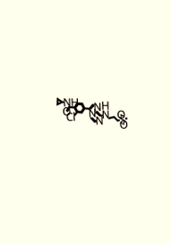 CS(=O)(=O)CCCNc1nccn2c(-c3ccc(C(=O)NC4CC4)c(Cl)c3)cnc12